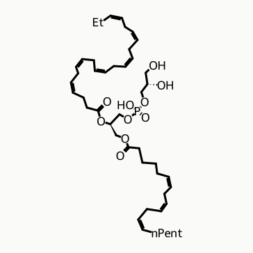 CC/C=C\C/C=C\C/C=C\C/C=C\C/C=C\C/C=C\CCC(=O)O[C@H](COC(=O)CCCC/C=C\C/C=C\C/C=C\CCCCC)COP(=O)(O)OC[C@@H](O)CO